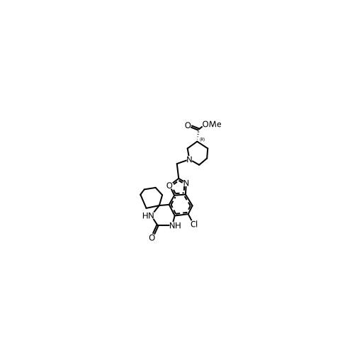 COC(=O)[C@@H]1CCCN(Cc2nc3cc(Cl)c4c(c3o2)C2(CCCCC2)NC(=O)N4)C1